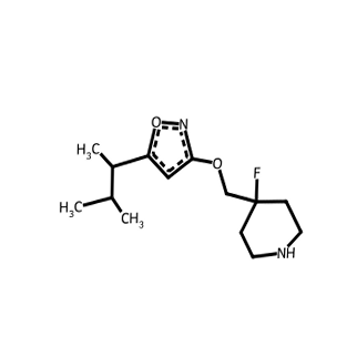 CC(C)C(C)c1cc(OCC2(F)CCNCC2)no1